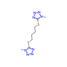 Cn1nnnc1SCCCCSc1nnnn1C